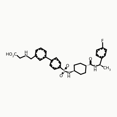 C[C@@H](NC(=O)[C@H]1CC[C@H](NS(=O)(=O)c2ccc(-c3cccc(CNCC(=O)O)c3)cc2)CC1)c1ccc(F)cc1